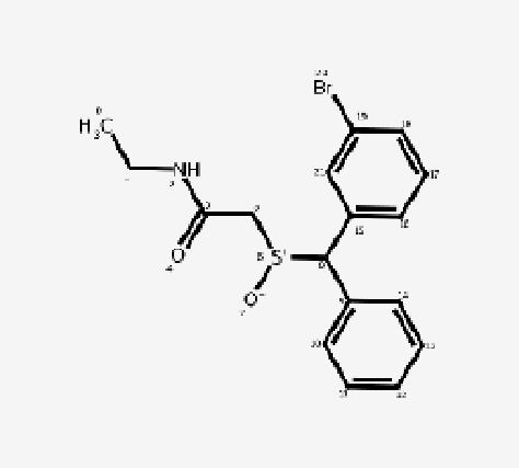 CCNC(=O)C[S+]([O-])C(c1ccccc1)c1cccc(Br)c1